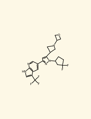 FC1(F)CCC(n2nc(-c3cnc4[nH]cc(C(F)(F)F)c4c3)cc2C2CN(C3COC3)C2)C1